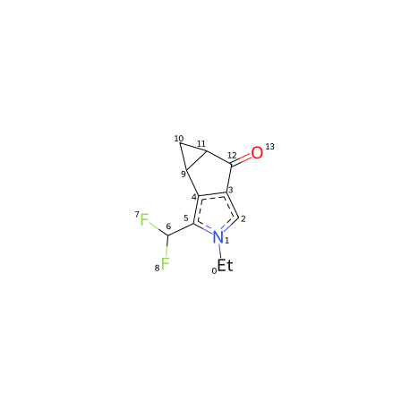 CCn1cc2c(c1C(F)F)C1CC1C2=O